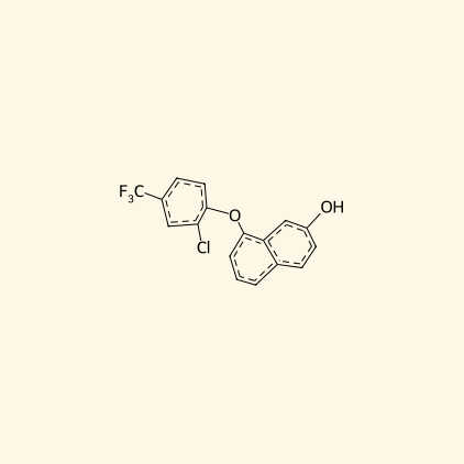 Oc1ccc2cccc(Oc3ccc(C(F)(F)F)cc3Cl)c2c1